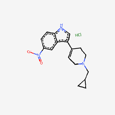 Cl.O=[N+]([O-])c1ccc2[nH]cc(C3=CCN(CC4CC4)CC3)c2c1